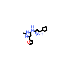 Cc1nc(Nc2cc(C3CCCC3)[nH]n2)cc(-c2ccco2)n1